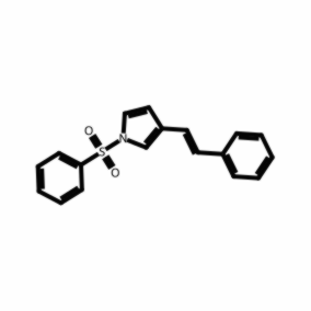 O=S(=O)(c1ccccc1)n1ccc(C=Cc2ccccc2)c1